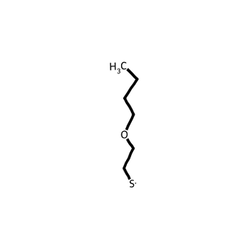 CCCCOCC[S]